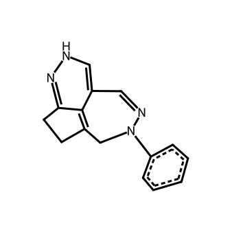 C1=NN(c2ccccc2)CC2=C3C1=CNN=C3CC2